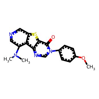 COc1ccc(-n2cnc3c(sc4cncc(N(C)C)c43)c2=O)cc1